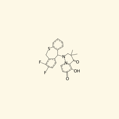 CC1(C)CN(C2c3ccccc3SCc3c2ccc(F)c3F)n2ccc(=O)c(O)c2C1=O